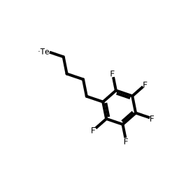 Fc1c(F)c(F)c(CCCC[Te])c(F)c1F